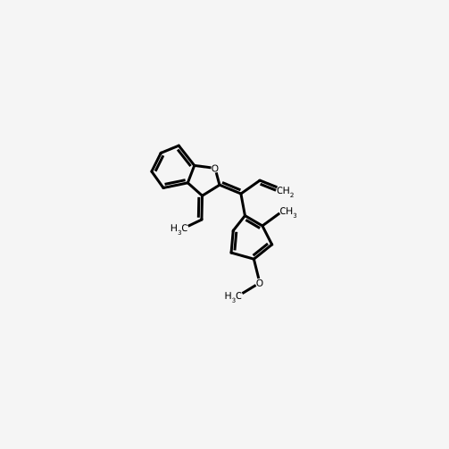 C=C/C(c1ccc(OC)cc1C)=c1\oc2ccccc2c1=CC